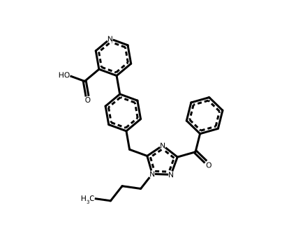 CCCCn1nc(C(=O)c2ccccc2)nc1Cc1ccc(-c2ccncc2C(=O)O)cc1